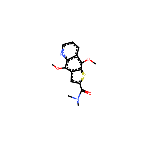 COc1c2cc(C(=O)N(C)C)sc2c(OC)c2cccnc12